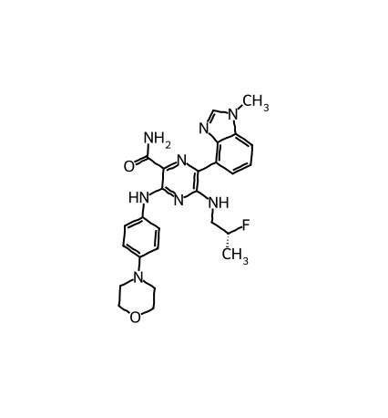 C[C@@H](F)CNc1nc(Nc2ccc(N3CCOCC3)cc2)c(C(N)=O)nc1-c1cccc2c1ncn2C